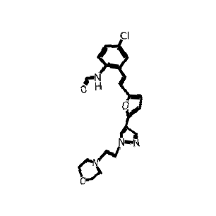 O=CNc1ccc(Cl)cc1/C=C/c1ccc(-c2cnn(CCN3CCOCC3)c2)o1